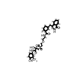 C[C@](O)(CS(=O)(=O)CCOCCNC(=O)c1cc(Cc2n[nH]c(=O)c3ccccc23)ccc1F)C(=O)Nc1ccc(C#N)c(C(F)(F)F)c1